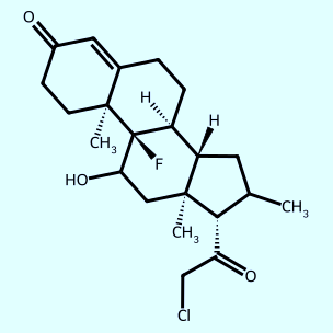 CC1C[C@H]2[C@@H]3CCC4=CC(=O)CC[C@]4(C)[C@@]3(F)C(O)C[C@]2(C)[C@H]1C(=O)CCl